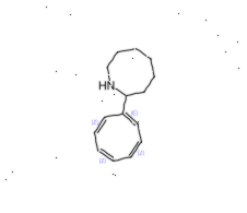 C1=C\C=C/C(C2CCCCCCN2)=C\C=C/1